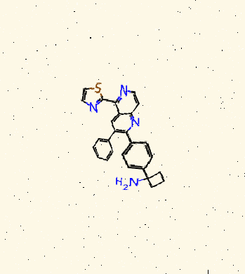 NC1(c2ccc(-c3nc4ccnc(-c5nccs5)c4cc3-c3ccccc3)cc2)CCC1